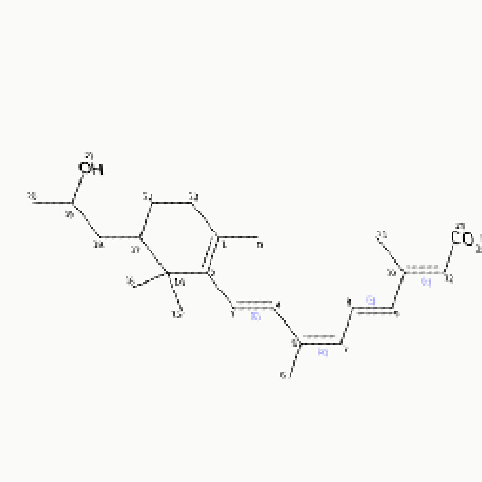 CC1=C(/C=C/C(C)=C\C=C\C(C)=C\C(=O)O)C(C)(C)C(CC(C)O)CC1